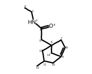 CCNC(=O)CC12CC=C(CC(C)C1)C2